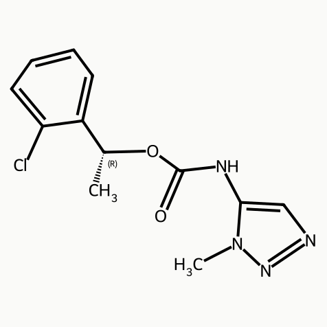 C[C@@H](OC(=O)Nc1cnnn1C)c1ccccc1Cl